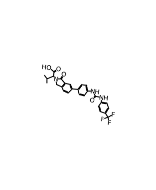 CC(C)C(C(=O)O)N1Cc2ccc(-c3ccc(NC(=O)Nc4ccc(C(F)(F)F)cc4)cc3)cc2C1=O